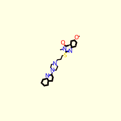 COc1ccc2nc(SCCCN3CCN(c4ccc5ccccc5n4)CC3)n(C)c(=O)c2c1